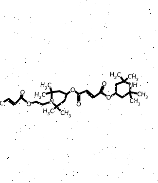 CC=CC(=O)OCCN1C(C)(C)CC(OC(=O)C=CC(=O)OC2CC(C)(C)NC(C)(C)C2)CC1(C)C